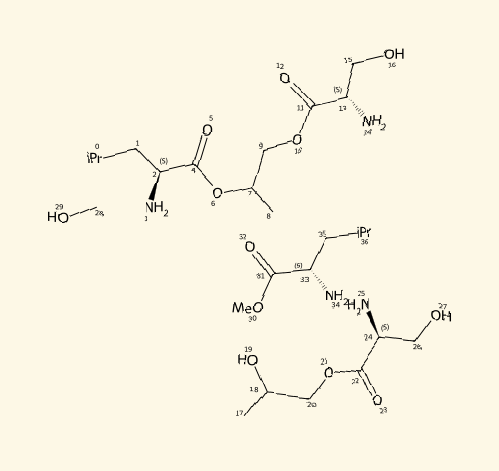 CC(C)C[C@H](N)C(=O)OC(C)COC(=O)[C@@H](N)CO.CC(O)COC(=O)[C@@H](N)CO.CO.COC(=O)[C@@H](N)CC(C)C